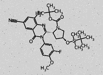 COc1ccc(-n2c([C@H]3C[C@H](O[Si](C)(C)C(C)(C)C)CN3C(=O)OC(C)(C)C)nc3c(Br)cc(C#N)cc3c2=O)cc1F